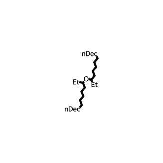 CCCCCCCCCCCCCCCC(CC)OC(CC)CCCCCCCCCCCCCCC